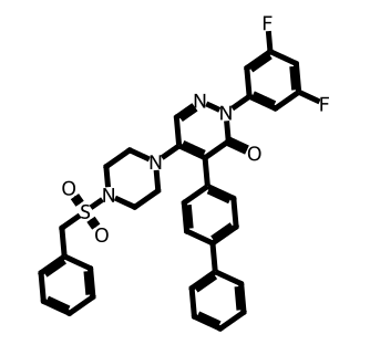 O=c1c(-c2ccc(-c3ccccc3)cc2)c(N2CCN(S(=O)(=O)Cc3ccccc3)CC2)cnn1-c1cc(F)cc(F)c1